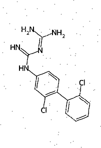 N=C(N=C(N)N)Nc1ccc(-c2ccccc2Cl)c(Cl)c1